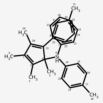 CC1=C(C)C(C)([SiH](c2ccc(C)cc2)c2ccc(C)cc2)C(c2ccccc2)=C1C